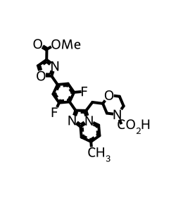 COC(=O)c1coc(-c2cc(F)c(-c3nc4cc(C)ccn4c3CC3CN(C(=O)O)CCO3)c(F)c2)n1